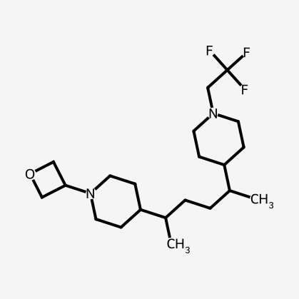 CC(CCC(C)C1CCN(C2COC2)CC1)C1CCN(CC(F)(F)F)CC1